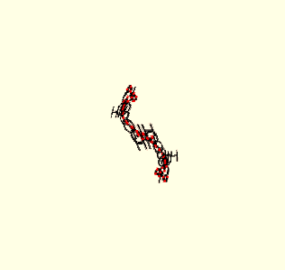 O=C(NCCOCCOCCNS(=O)(=O)c1ccc(O[C@H]2c3ccccc3CC2N2CCCCC2)cc1)c1ccc(C(=O)NCCOCCOCCNS(=O)(=O)c2ccc(O[C@H]3c4ccccc4C[C@@H]3N3CCCCC3)cc2)cc1